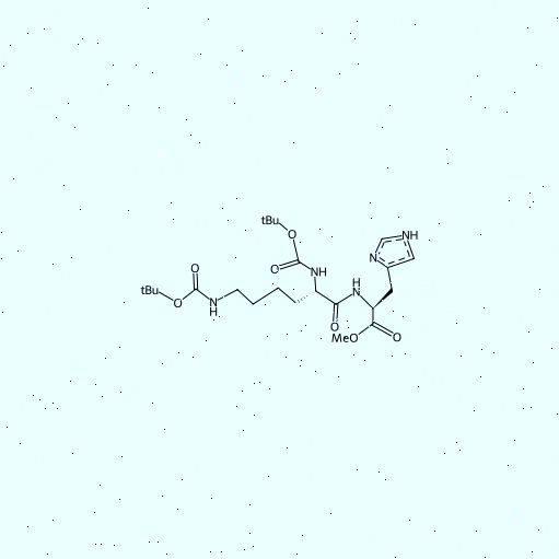 COC(=O)[C@H](Cc1c[nH]cn1)NC(=O)[C@H](CCCCNC(=O)OC(C)(C)C)NC(=O)OC(C)(C)C